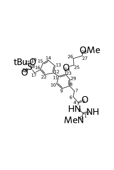 CNC(=N)NC(=O)CCc1ccc(-c2cccc(CS(=O)(=O)C(C)(C)C)c2)c(OCCCOC)c1